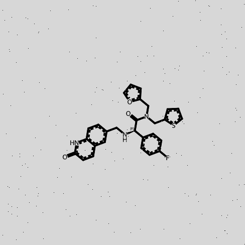 O=C([C@H](NCc1ccc2[nH]c(=O)ccc2c1)c1ccc(F)cc1)N(Cc1ccco1)Cc1cccs1